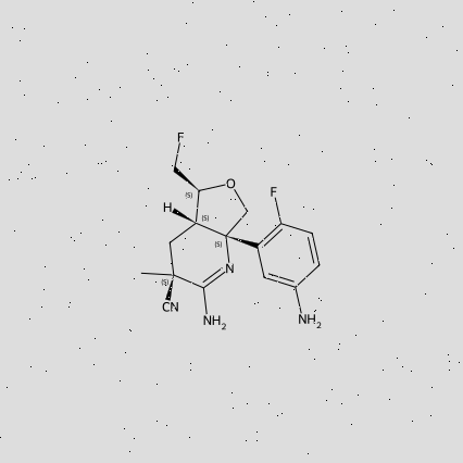 C[C@]1(C#N)C[C@@H]2[C@@H](CF)OC[C@]2(c2cc(N)ccc2F)N=C1N